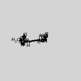 Cc1sc2c(c1C)C(c1ccc(Cl)cc1)=N[C@@H](CC(=O)NCCCCCCCC(=O)Nc1ccc3ncn(C4CCC(=O)NC4=O)c3c1)c1nncn1-2